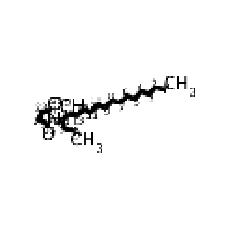 CCCCCCCCCCCCC/C=C(\C)C(CCC)N1C(=O)CCC1=O